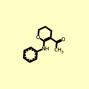 CC(=O)C1=C(Nc2ccccc2)OCCC1